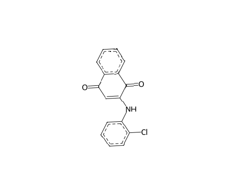 O=C1C=C(Nc2ccccc2Cl)C(=O)c2ccccc21